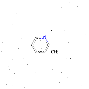 [CH].c1ccncc1